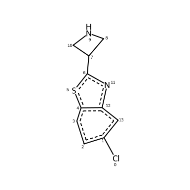 Clc1ccc2sc(C3CNC3)nc2c1